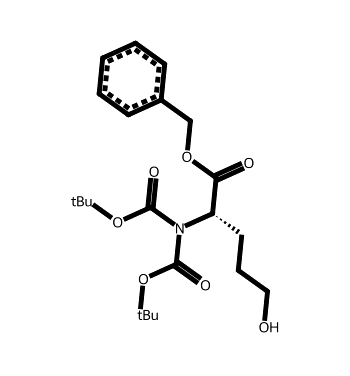 CC(C)(C)OC(=O)N(C(=O)OC(C)(C)C)[C@@H](CCCO)C(=O)OCc1ccccc1